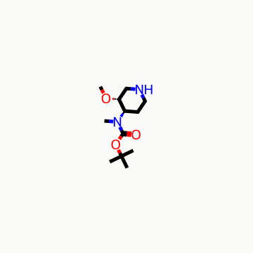 CO[C@@H]1CNCC[C@H]1N(C)C(=O)OC(C)(C)C